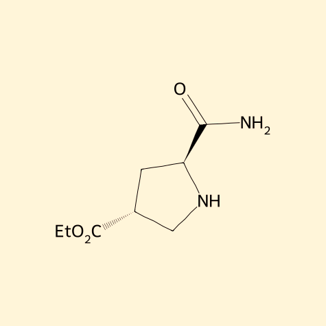 CCOC(=O)[C@H]1CN[C@H](C(N)=O)C1